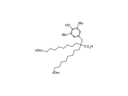 CCCCCCCCCCCCCCCCCCC(CCCCCCCCCCCCCCCCCC)(Cc1cc(C(C)(C)C)c(O)c(C(C)(C)C)c1)C(=O)O